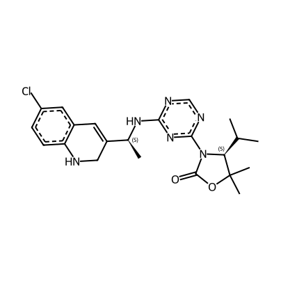 CC(C)[C@@H]1N(c2ncnc(N[C@@H](C)C3=Cc4cc(Cl)ccc4NC3)n2)C(=O)OC1(C)C